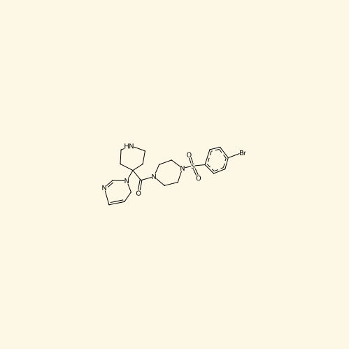 O=C(N1CCN(S(=O)(=O)c2ccc(Br)cc2)CC1)C1(N2C=NC=CC2)CCNCC1